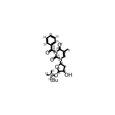 Cc1cn(C2CC(O)C(O[Si](C)(C)C(C)(C)C)O2)c(=O)n(C(=O)c2ccccc2)c1=O